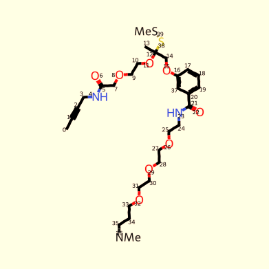 CC#CCNC(=O)COCCOC(C)(COc1cccc(C(=O)NCCOCCOCCOCCCNC)c1)SSC